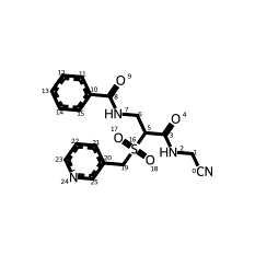 N#CCNC(=O)C(CNC(=O)c1ccccc1)S(=O)(=O)Cc1cccnc1